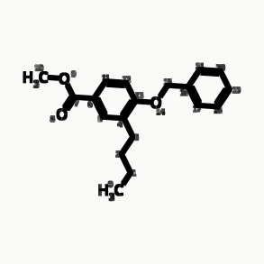 CCCCc1cc(C(=O)OC)ccc1OCc1ccccc1